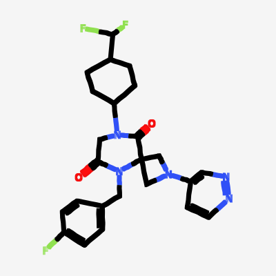 O=C1CN(C2CCC(C(F)F)CC2)C(=O)C2(CN(c3ccnnc3)C2)N1Cc1ccc(F)cc1